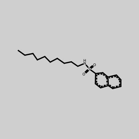 CCCCCCCCCCNS(=O)(=O)c1ccc2ccccc2c1